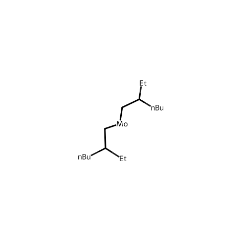 CCCCC(CC)[CH2][Mo][CH2]C(CC)CCCC